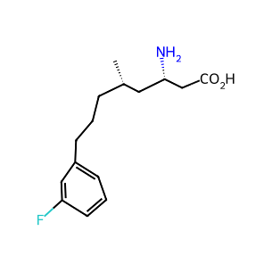 C[C@@H](CCCc1cccc(F)c1)C[C@H](N)CC(=O)O